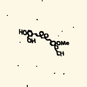 C#CCOc1ccc(/C=C/C(=O)CC(=O)/C=C/c2ccc(O)c(CO)c2)cc1OC